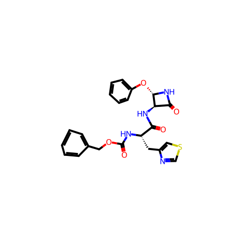 O=C(N[C@@H](Cc1cscn1)C(=O)N[C@@H]1C(=O)N[C@H]1Oc1ccccc1)OCc1ccccc1